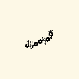 CC(c1ccc(NC(=O)c2ccc(-c3ccc(-c4cnc([C@@H]5CCCN5)[nH]4)cc3)cc2)cc1)N1CCS(=O)(=O)CC1